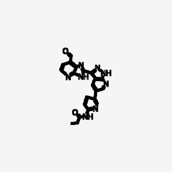 CCC(=O)Nc1ccc(-c2cnc3[nH]nc(-c4nc5c(C=O)ccnc5[nH]4)c3c2)cn1